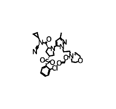 Cc1cc(N2C[C@H](S(=O)(=O)c3ccccc3Cl)C[C@H]2C(=O)N(C#N)C2CC2)n(CC[N+]2(OC=O)CCOCC2)n1